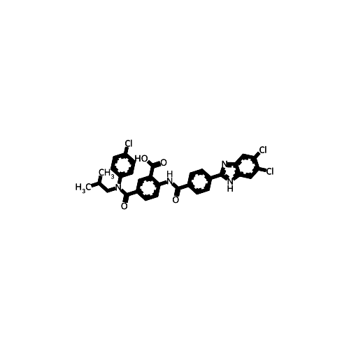 CC(C)CN(C(=O)c1ccc(NC(=O)c2ccc(-c3nc4cc(Cl)c(Cl)cc4[nH]3)cc2)c(C(=O)O)c1)c1ccc(Cl)cc1